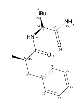 CC[C@H](C)[C@H](NC(=O)[C@H](C)Cc1ccccc1)C(N)=O